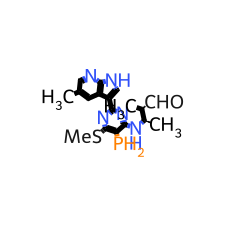 CSc1nc(-c2c[nH]c3ncc(C)cc23)nc(N[C@@H](C)[C@H](C)C=O)c1P